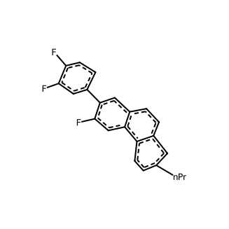 CCCc1ccc2c(ccc3cc(-c4ccc(F)c(F)c4)c(F)cc32)c1